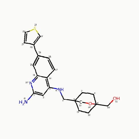 Nc1cc(NCC23CCC(CO)(CC2)OC3)c2ccc(-c3ccsc3)cc2n1